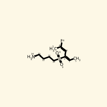 C/C=C(\C=C(/C)F)S(=O)(=O)CCCCN